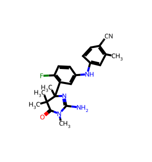 Cc1cc(Nc2ccc(F)c(C3(C)N=C(N)N(C)C(=O)C3(C)C)c2)ccc1C#N